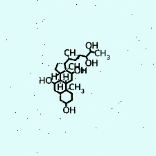 CC(O)C(O)CC[C@@H](C)[C@H]1CC[C@H]2[C@@H]3C(O)CC4CC(O)CC[C@]4(C)[C@H]3CC(O)[C@]12C